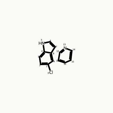 Clc1ccc2[nH]ccc2c1.c1ccncc1